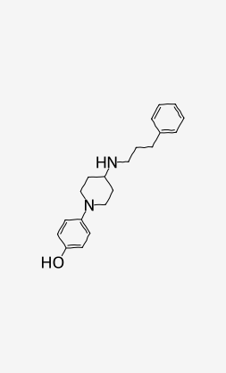 Oc1ccc(N2CCC(NCCCc3ccccc3)CC2)cc1